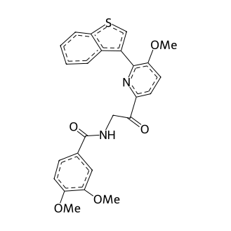 COc1ccc(C(=O)NCC(=O)c2ccc(OC)c(-c3csc4ccccc34)n2)cc1OC